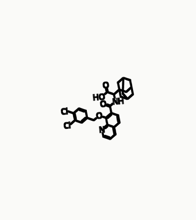 O=C(NC(C(=O)O)C12CC3CC(CC(C3)C1)C2)c1ccc2cccnc2c1OCc1ccc(Cl)c(Cl)c1